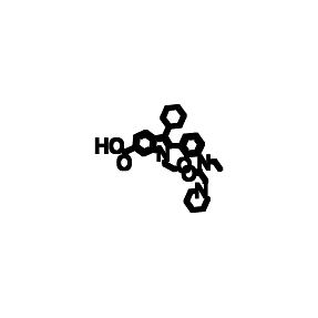 CCN(C(=O)CN1CCCCC1)c1cccc2c1OCCn1c-2c(C2CCCCC2)c2ccc(C(=O)O)cc21